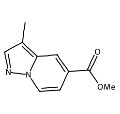 COC(=O)c1ccn2ncc(C)c2c1